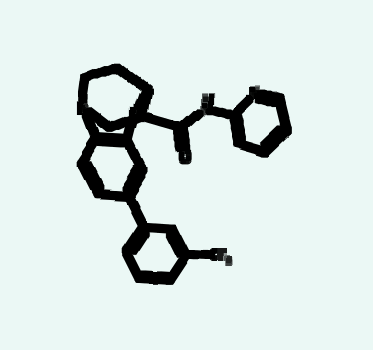 O=C(Nc1ccccn1)N1c2cc(-c3cccc(C(F)(F)F)c3)ccc2N2CCC1CC2